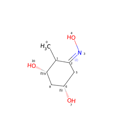 CC1/C(=N\O)C[C@H](O)C[C@@H]1O